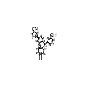 N#CC1CCN(c2ccc3c(c2)OC2(CCNCC2)CC3c2cccc(O)c2)C1